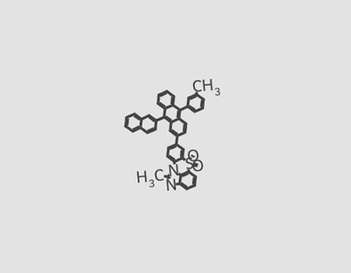 Cc1cccc(-c2c3ccccc3c(-c3ccc4ccccc4c3)c3cc(-c4ccc5c(c4)S(=O)(=O)c4cccc6nc(C)n-5c46)ccc23)c1